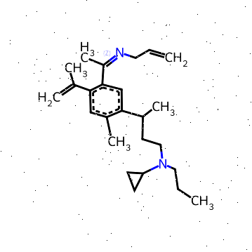 C=CC/N=C(/C)c1cc(C(C)CCN(CCC)C2CC2)c(C)cc1C(=C)C